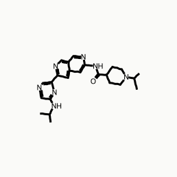 CC(C)Nc1cncc(-c2cc3cc(NC(=O)C4CCN(C(C)C)CC4)ncc3cn2)n1